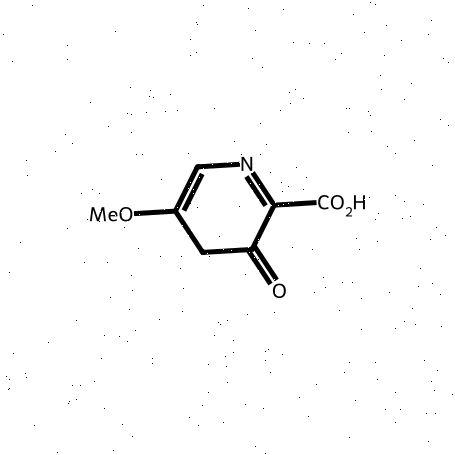 COC1=CN=C(C(=O)O)C(=O)C1